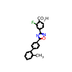 Cc1ccccc1-c1ccc(-c2nc(-c3ccc(C(=O)O)c(F)c3)no2)cc1